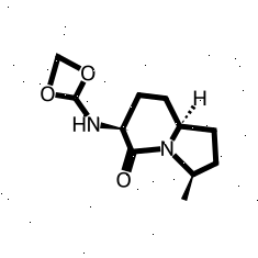 C[C@@H]1CC[C@@H]2CC[C@H](NC3OCO3)C(=O)N21